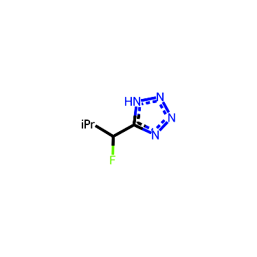 CC(C)C(F)c1nnn[nH]1